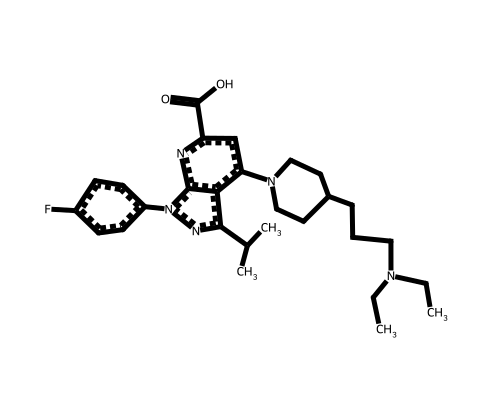 CCN(CC)CCCC1CCN(c2cc(C(=O)O)nc3c2c(C(C)C)nn3-c2ccc(F)cc2)CC1